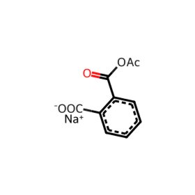 CC(=O)OC(=O)c1ccccc1C(=O)[O-].[Na+]